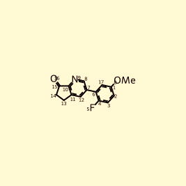 COc1ccc(F)c(-c2cnc3c(c2)CCC3=O)c1